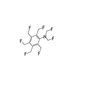 FCc1c(CF)c(CF)c(N(CF)CF)c(CF)c1CF